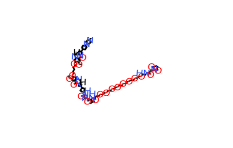 COc1cc2c(cc1OCCCCCOc1cc3c(cc1OC)C(=O)N1C=C(c4ccc(N5CCN(C)CC5)cc4)C[C@H]1C=N3)N=C[C@@H]1CC(c3ccc(NC(=O)[C@H](C)NC(=O)C(NC(=O)CCOCCOCCOCCOCCOCCOCCOCCOCCNC(=O)CCN4C(=O)C=CC4=O)C(C)C)cc3)=CN1C2=O